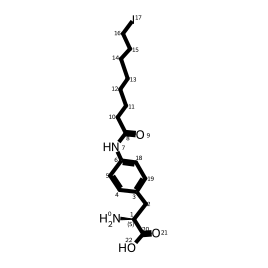 N[C@@H](Cc1ccc(NC(=O)CCCCCCCI)cc1)C(=O)O